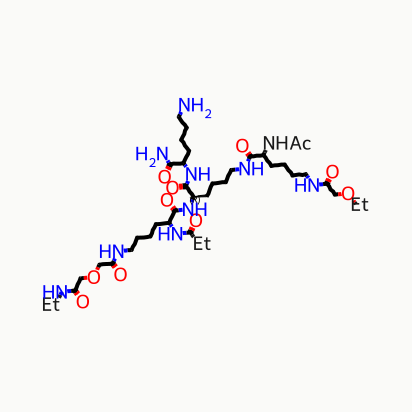 CCNC(=O)COCC(=O)NCCCCC(NC(=O)CC)C(=O)N[C@H](CCCCNC(=O)C(CCCCNC(=O)COCC)NC(C)=O)C(=O)NC(CCCCN)C(N)=O